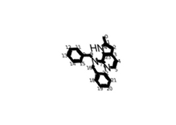 Cc1cc2ccnc(N(Cc3ccccc3)Cc3ccccc3)c2[nH]1